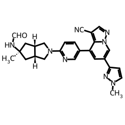 Cn1ccc(-c2cc(-c3ccc(N4C[C@@H]5C[C@@](C)(NC=O)C[C@@H]5C4)nc3)c3c(C#N)cnn3c2)n1